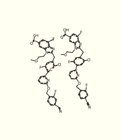 COCCn1c(Cc2cc(F)c(-c3cccc(OCc4ccc(C#N)cc4F)n3)cc2Cl)nc2c(F)cc(C(=O)O)cc21.COCCn1c(Cc2cc(F)c(-c3cccc(OCc4ccc(C#N)cc4F)n3)cc2Cl)nc2c(F)cc(C(=O)O)cc21